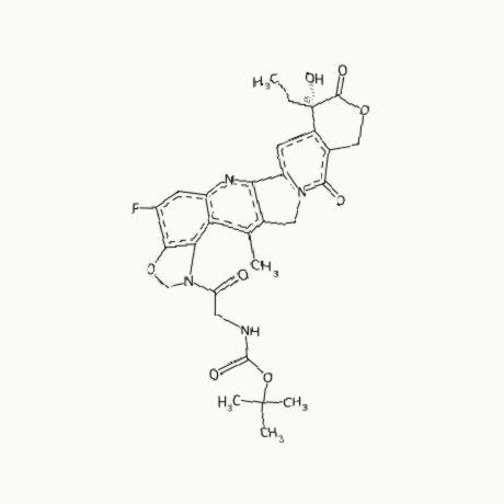 CC[C@@]1(O)C(=O)OCc2c1cc1n(c2=O)Cc2c-1nc1cc(F)c3c(c1c2C)N(C(=O)CNC(=O)OC(C)(C)C)CO3